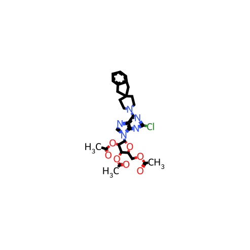 CC(=O)OCC1OC(n2cnc3c(N4CCC5(CC4)Cc4ccccc4C5)nc(Cl)nc32)C(OC(C)=O)C1OC(C)=O